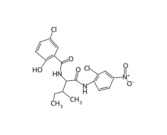 CCC(C)C(NC(=O)c1cc(Cl)ccc1O)C(=O)Nc1ccc([N+](=O)[O-])cc1Cl